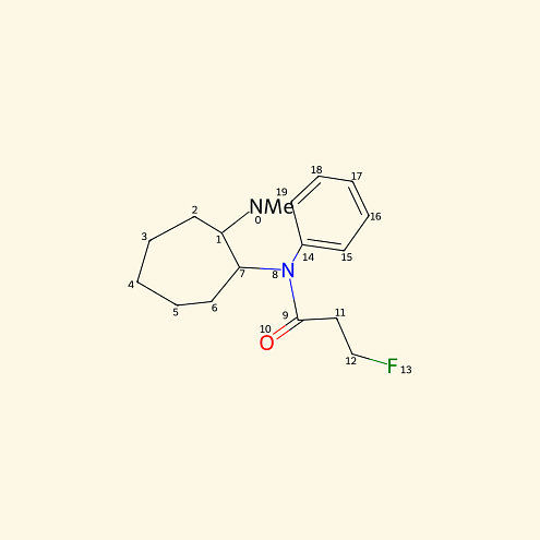 CNC1CCCCCC1N(C(=O)CCF)c1ccccc1